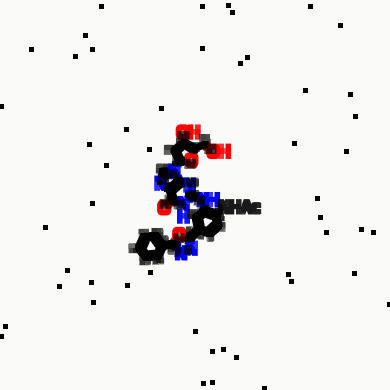 CC(=O)Nc1ccc(-c2nnc(-c3ccccc3)o2)cc1Nc1nc2c(ncn2[C@H]2C[C@@H](O)[C@@H](CO)O2)c(=O)[nH]1